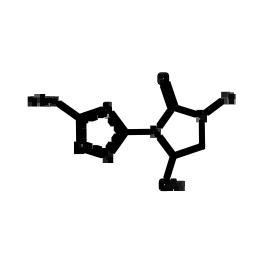 CCCCCCc1nnc(N2C(=O)N(CC)CC2OC(C)=O)s1